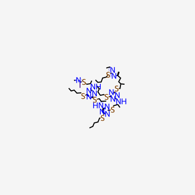 C=C(CCC(C)CSc1nc(NC(C)CSc2nc(NC(C)CSc3nc(NC(C)CS/C(I)=N/C)nc(SCCCCC)n3)nc(SCCCCC)n2)nc(SCCCCC)n1)/N=C(\N=C/C)SCCCCC